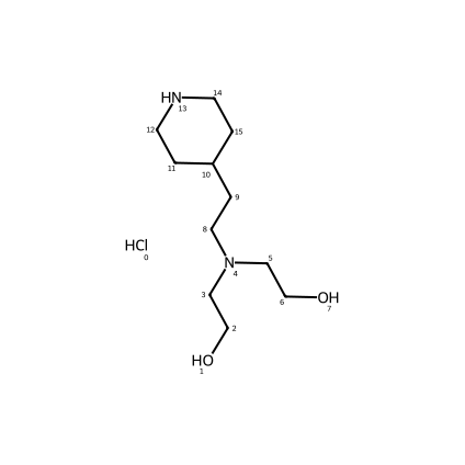 Cl.OCCN(CCO)CCC1CCNCC1